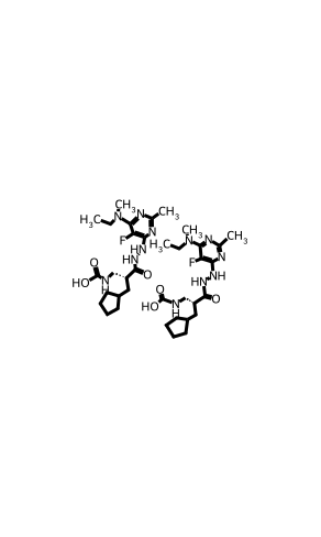 CCN(C)c1nc(C)nc(NNC(=O)[C@@H](CNC(=O)O)CC2CCCC2)c1F.CCN(C)c1nc(C)nc(NNC(=O)[C@@H](CNC(=O)O)CC2CCCC2)c1F